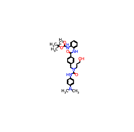 CN(C)c1ccc(NC(=O)N(CCCO)Cc2ccc(C(=O)Nc3ccccc3NC(=O)OC(C)(C)C)cc2)cc1